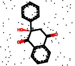 O=C1C[C@](O)(c2ccccc2)C(=O)c2ccccc21